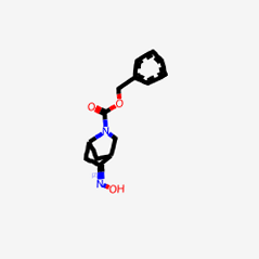 O=C(OCc1ccccc1)N1CC2CC1C/C2=N/O